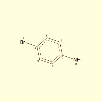 [NH]c1ccc(Br)cc1